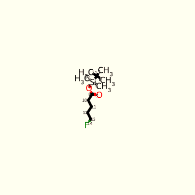 CC(C)(C)[Si](C)(C)OC(=O)CCCCF